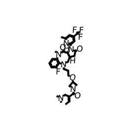 C/C=C(\CN(C)C)C(=O)N1CC(OCCCN2C[C@H]3CC(=O)N(c4cc(C(F)(F)F)cc(C)n4)[C@@H]3C(=O)N(C)c3cccc(F)c32)C1